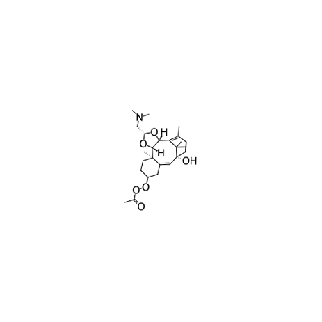 CC(=O)OOC1CC[C@]2(C)/C(=C\[C@]3(O)CCC(C)=C([C@H]4O[C@@H](CN(C)C)O[C@H]42)C3(C)C)C1